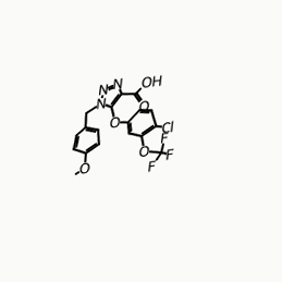 COc1ccc(Cn2nnc(C(=O)O)c2Oc2ccc(Cl)c(OC(F)(F)F)c2)cc1